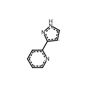 [c]1c[nH]nc1-c1ccccn1